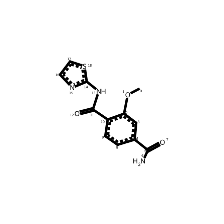 COc1cc(C(N)=O)ccc1C(=O)Nc1nccs1